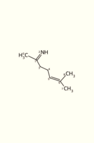 CC(=N)CCC=C(C)C